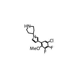 COc1c(-c2ccn(C3CCNCC3)c2)cc(Cl)c(F)c1F